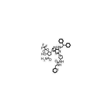 NC(=O)[C@H]1C[C@@H](n2cnc3c(NCC(c4ccccc4)c4ccccc4)nc(N4CC[C@@H](NC(=O)NCc5ccccn5)C4)nc32)[C@H](OC(=O)C(F)(F)F)[C@@H]1O